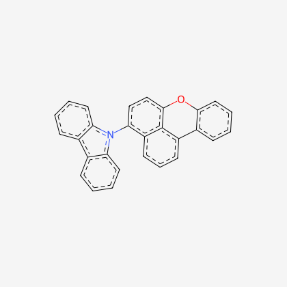 c1ccc2c(c1)Oc1ccc(-n3c4ccccc4c4ccccc43)c3cccc-2c13